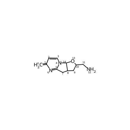 C=C1C=CN2C(=N1)CC1CC(CN)OC12